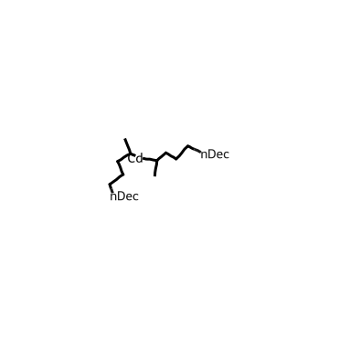 CCCCCCCCCCCCC[CH](C)[Cd][CH](C)CCCCCCCCCCCCC